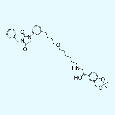 CC1(C)OCc2cc([C@H](O)CNCCCCCCOCCCCc3cccc(N4CC(=O)N(Cc5ccccc5)C4=O)c3)ccc2O1